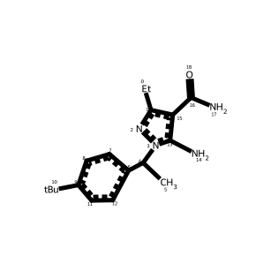 CCc1nn(C(C)c2ccc(C(C)(C)C)cc2)c(N)c1C(N)=O